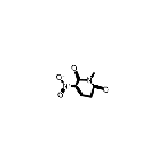 CN1C(=O)CC=C([N+](=O)[O-])C1=O